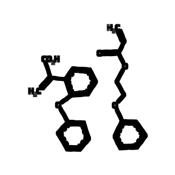 C=C(C(=O)O)c1ccccc1Oc1ccccc1.C=CC(=O)OCCOc1ccccc1